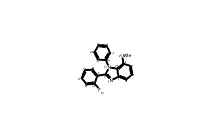 COc1cccc2nc(-c3ccccc3F)n(-c3ccccc3)c12